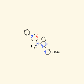 COc1ccnc(-c2nc3c(c(N(C)[C@@H]4CCN(c5ccccc5)COC4)n2)CCC3)c1